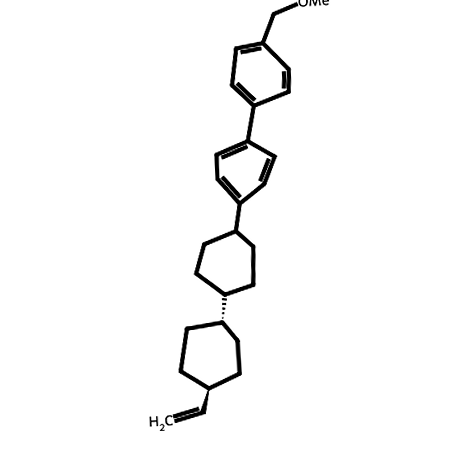 C=C[C@H]1CC[C@H](C2CCC(c3ccc(-c4ccc(COC)cc4)cc3)CC2)CC1